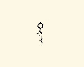 CCCCCc1ccc(-c2cn(C[C@H](O)CN)nn2)cc1